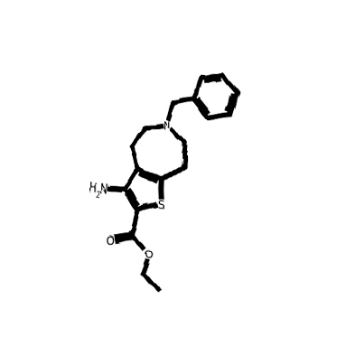 CCOC(=O)c1sc2c(c1N)CCN(Cc1ccccc1)CC2